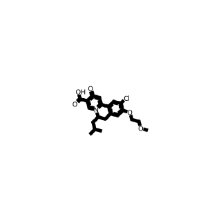 COCCOc1cc2c(cc1Cl)-c1cc(=O)c(C(=O)O)cn1C(CC(C)C)C2